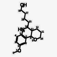 COc1ccc2c(c1)C1OCCCC1C(CCCCO)N2